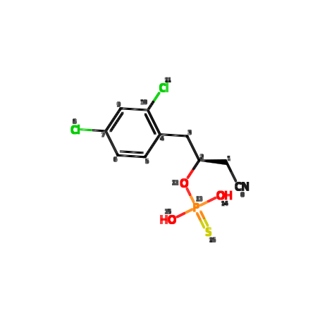 N#CC[C@H](Cc1ccc(Cl)cc1Cl)OP(O)(O)=S